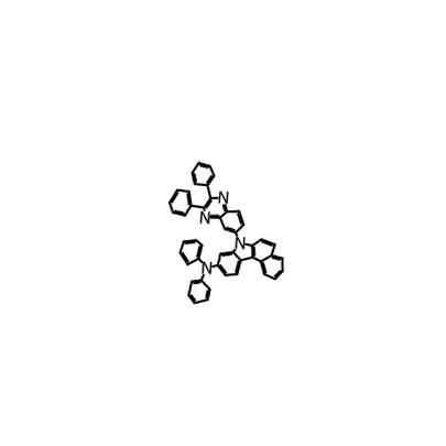 c1ccc(-c2nc3ccc(-n4c5cc(N(c6ccccc6)c6ccccc6)ccc5c5c6ccccc6ccc54)cc3nc2-c2ccccc2)cc1